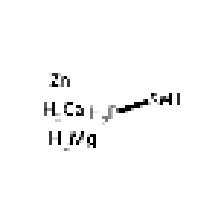 P[SeH].[CaH2].[MgH2].[Zn]